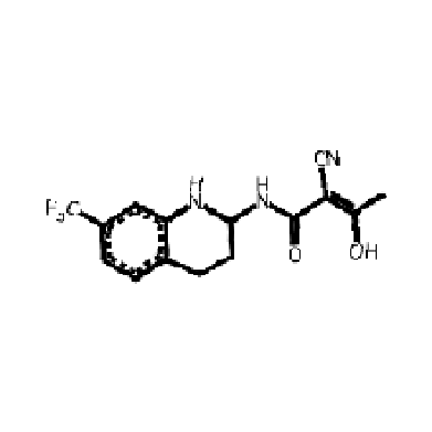 C/C(O)=C(\C#N)C(=O)NC1CCc2ccc(C(F)(F)F)cc2N1